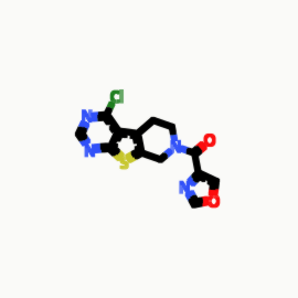 O=C(c1cocn1)N1CCc2c(sc3ncnc(Cl)c23)C1